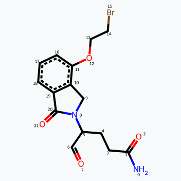 NC(=O)CCC(C=O)N1Cc2c(OCCBr)cccc2C1=O